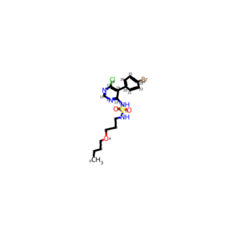 CCCCOCCCNS(=O)(=O)Nc1ncnc(Cl)c1-c1ccc(Br)cc1